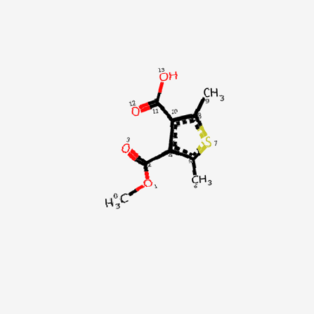 COC(=O)c1c(C)sc(C)c1C(=O)O